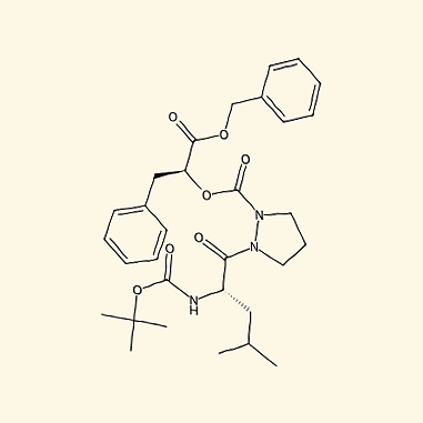 CC(C)C[C@H](NC(=O)OC(C)(C)C)C(=O)N1CCCN1C(=O)O[C@@H](Cc1ccccc1)C(=O)OCc1ccccc1